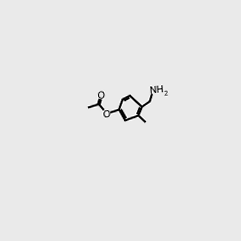 CC(=O)Oc1ccc(CN)c(C)c1